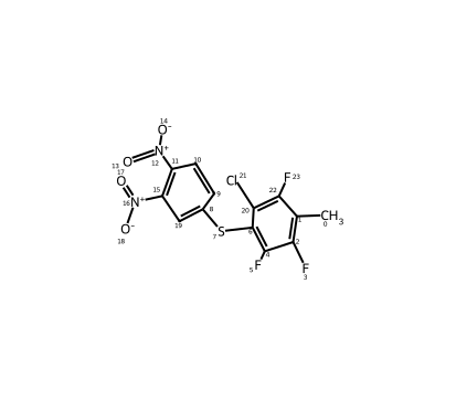 Cc1c(F)c(F)c(Sc2ccc([N+](=O)[O-])c([N+](=O)[O-])c2)c(Cl)c1F